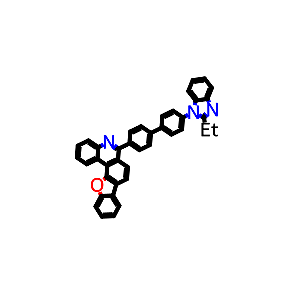 CCc1nc2ccccc2n1-c1ccc(-c2ccc(-c3nc4ccccc4c4c3ccc3c5ccccc5oc34)cc2)cc1